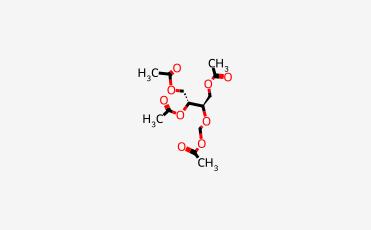 CC(=O)OCO[C@H](COC(C)=O)[C@@H](COC(C)=O)OC(C)=O